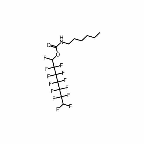 CCCCCCNC(=O)OC(F)C(F)(F)C(F)(F)C(F)(F)C(F)(F)C(F)(F)C(F)F